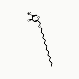 CCCCCCCCCCCCCCOCc1cc(=O)c(O)co1